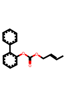 C/C=C/COC(=O)Oc1ccccc1-c1ccccc1